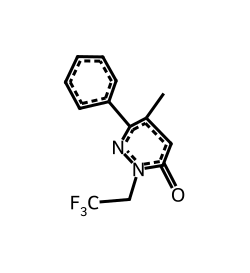 Cc1cc(=O)n(CC(F)(F)F)nc1-c1ccccc1